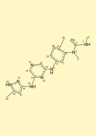 CNC(=O)N(C)c1cc(Nc2cncc(Nc3cc(C)[nH]n3)n2)ccc1C